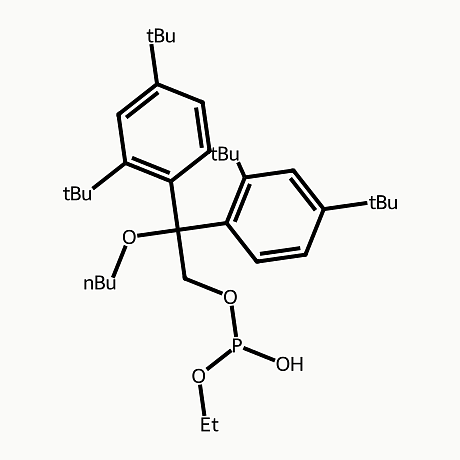 CCCCOC(COP(O)OCC)(c1ccc(C(C)(C)C)cc1C(C)(C)C)c1ccc(C(C)(C)C)cc1C(C)(C)C